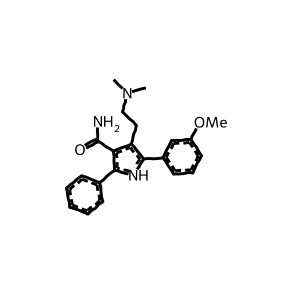 COc1cccc(-c2[nH]c(-c3ccccc3)c(C(N)=O)c2CCN(C)C)c1